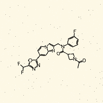 CC(=O)N1CC(C(=O)N(Cc2cn3ccc(-c4nnc(C(F)F)o4)cc3n2)c2cccc(F)c2)C1